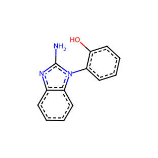 Nc1nc2ccccc2n1-c1ccccc1O